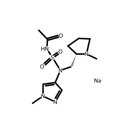 CC(=O)NS(=O)(=O)N(C[C@@H]1CCCN1C)c1cnn(C)c1.[Na]